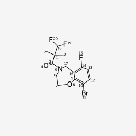 CC(C)(C(=O)N1CCOc2c(Br)ccc(F)c2C1)C(F)F